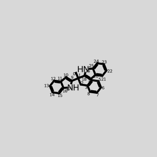 CC(Cc1ccccc1)(c1cc2ccccc2[nH]1)c1cc2ccccc2[nH]1